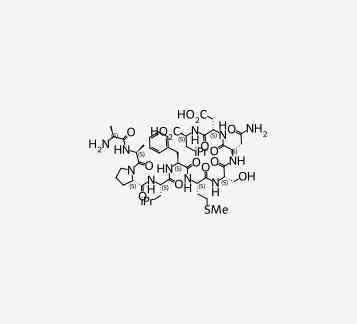 CSCC[C@H](NC(=O)[C@H](Cc1ccccc1)NC(=O)[C@H](CC(C)C)NC(=O)[C@@H]1CCCN1C(=O)[C@H](C)NC(=O)[C@H](C)N)C(=O)N[C@@H](CO)C(=O)N[C@@H](CC(N)=O)C(=O)N[C@@H](CC(=O)O)C(=O)N[C@@H](CC(C)C)C(=O)O